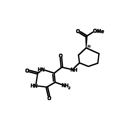 COC(=O)[C@H]1CCCC(NC(=O)c2[nH]c(=O)[nH]c(=O)c2N)C1